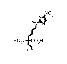 CN(CCCCC(CC[18F])(C(=O)O)C(=O)O)c1ncc([N+](=O)[O-])s1